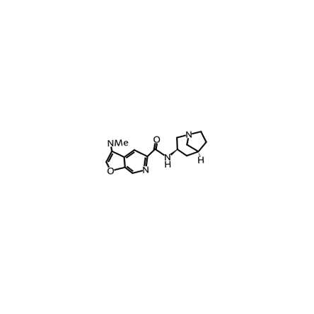 CNc1coc2cnc(C(=O)N[C@@H]3C[C@@H]4CCN(C4)C3)cc12